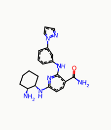 NC(=O)c1ccc(N[C@@H]2CCCC[C@@H]2N)nc1Nc1cccc(-n2cccn2)c1